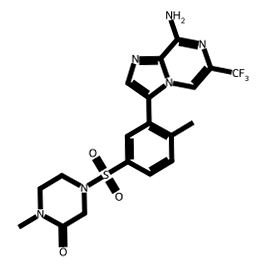 Cc1ccc(S(=O)(=O)N2CCN(C)C(=O)C2)cc1-c1cnc2c(N)nc(C(F)(F)F)cn12